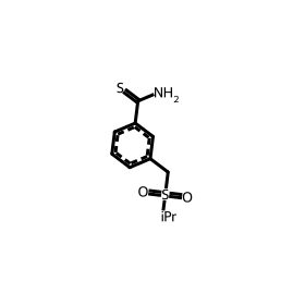 CC(C)S(=O)(=O)Cc1cccc(C(N)=S)c1